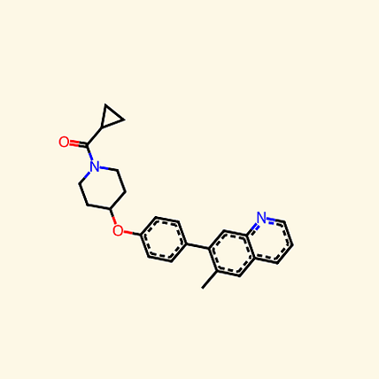 Cc1cc2cccnc2cc1-c1ccc(OC2CCN(C(=O)C3CC3)CC2)cc1